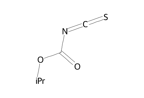 CC(C)OC(=O)N=C=S